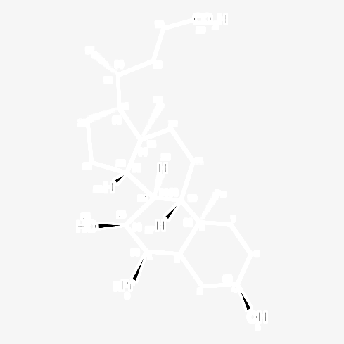 CCC[C@@H]1C2C[C@H](O)CC[C@]2(C)[C@H]2CC[C@]3(C)[C@@H]([C@H](C)CCC(=O)O)CC[C@H]3[C@@H]2[C@@H]1O